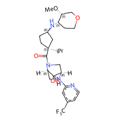 CO[C@@H]1COCC[C@@H]1N[C@@H]1CC[C@@](C(=O)N2C[C@@H]3[C@@H](O)[C@H]2CN3c2cc(C(F)(F)F)ccn2)(C(C)C)C1